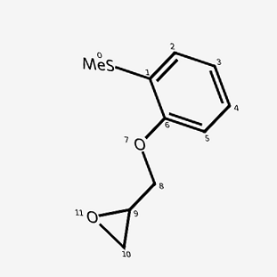 CSc1ccccc1OCC1CO1